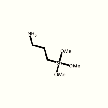 C[O][Sn]([CH2]CCN)([O]C)[O]C